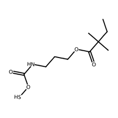 CCC(C)(C)C(=O)OCCCNC(=O)OS